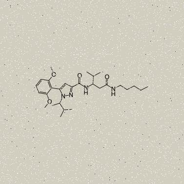 CCCCCNC(=O)CC(NC(=O)c1cc(-c2c(OC)cccc2OC)n(C(C)C(C)C)n1)C(C)C